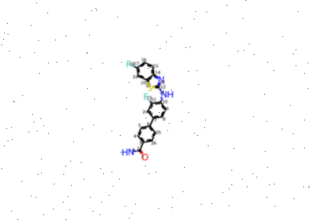 [NH]C(=O)c1ccc(-c2ccc(Nc3nc4ccc(F)cc4s3)c(F)c2)cc1